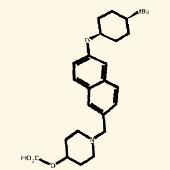 CC(C)(C)[C@H]1CC[C@@H](Oc2ccc3cc(CN4CCC(OC(=O)O)CC4)ccc3c2)CC1